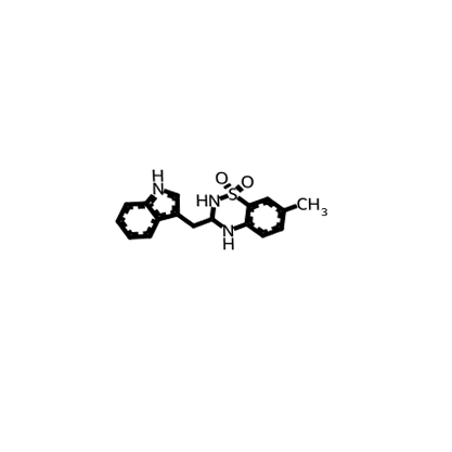 Cc1ccc2c(c1)S(=O)(=O)NC(Cc1c[nH]c3ccccc13)N2